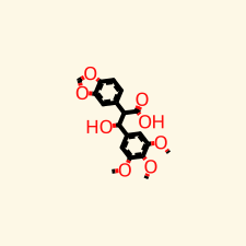 COc1cc(C(O)C(C(=O)O)c2ccc3c(c2)OCO3)cc(OC)c1OC